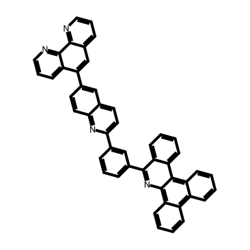 c1cc(-c2ccc3cc(-c4cc5cccnc5c5ncccc45)ccc3n2)cc(-c2nc3c4ccccc4c4ccccc4c3c3ccccc23)c1